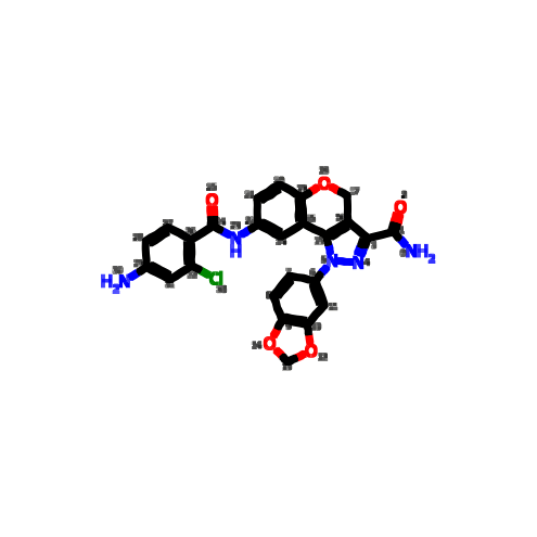 NC(=O)c1nn(-c2ccc3c(c2)OCO3)c2c1COc1ccc(NC(=O)c3ccc(N)cc3Cl)cc1-2